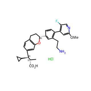 COc1cc(-c2ccc([C@H]3CCc4ccc([C@H](C5CC5)[C@H](C)C(=O)O)cc4O3)cc2CCN)c(F)cn1.Cl